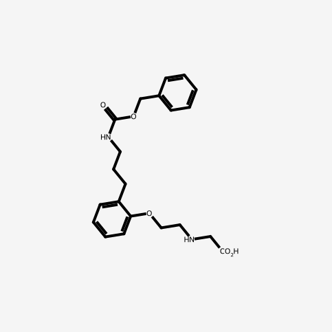 O=C(O)CNCCOc1ccccc1CCCNC(=O)OCc1ccccc1